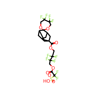 O=C(OCC(F)(F)C(F)(F)COC(=O)C(F)(F)S(=O)(=O)O)C12CC3CC(C1)C1(OCC(F)(F)C(F)(F)CO1)C(C3)C2